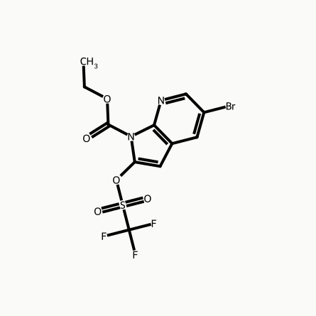 CCOC(=O)n1c(OS(=O)(=O)C(F)(F)F)cc2cc(Br)cnc21